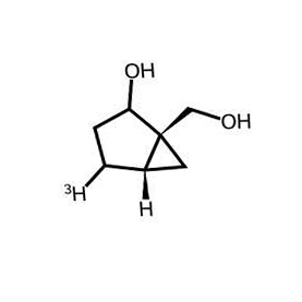 [3H]C1CC(O)[C@]2(CO)C[C@H]12